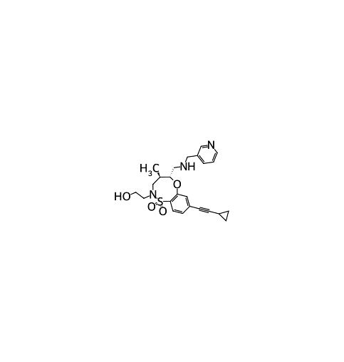 C[C@@H]1CN(CCO)S(=O)(=O)c2ccc(C#CC3CC3)cc2O[C@H]1CNCc1cccnc1